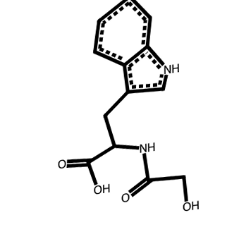 O=C(CO)NC(Cc1c[nH]c2ccccc12)C(=O)O